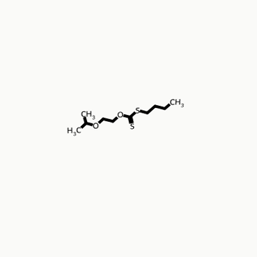 CCCCSC(=S)OCCOC(C)C